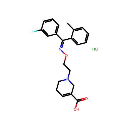 Cc1ccccc1/C(=N\OCCN1CCC=C(C(=O)O)C1)c1cccc(F)c1.Cl